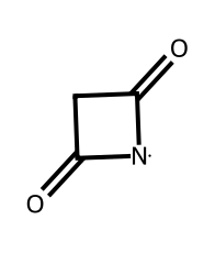 O=C1CC(=O)[N]1